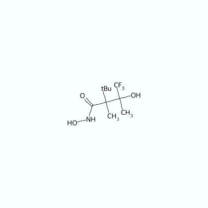 CC(C)(C)C(C)(C(=O)NO)C(C)(O)C(F)(F)F